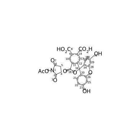 CC(=O)ON1C(=O)CCC1=O.O=C(O)c1cc2c(cc1C(=O)O)C1(OC2=O)c2ccc(O)cc2Oc2cc(O)ccc21